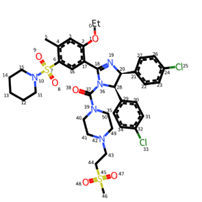 CCOc1cc(C)c(S(=O)(=O)N2CCCCC2)cc1C1=N[C@@H](c2ccc(Cl)cc2)[C@@H](c2ccc(Cl)cc2)N1C(=O)N1CCN(CCS(C)(=O)=O)CC1